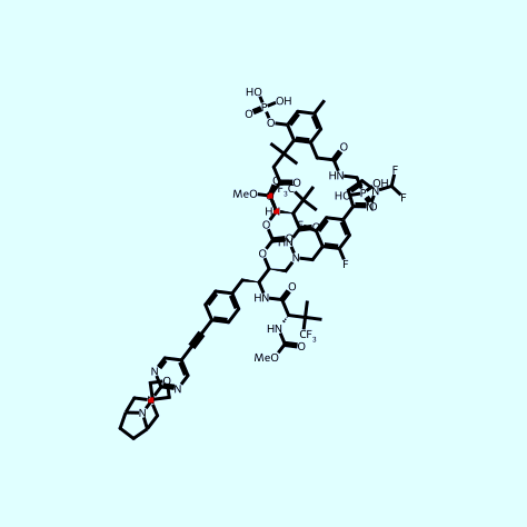 COC(=O)N[C@H](C(=O)N[C@@H](Cc1ccc(C#Cc2cnc(N3CC4CCC(C3)N4C3COC3)nc2)cc1)[C@H](CN(Cc1c(F)cc(-c2ccn(C(F)F)n2)cc1F)NC(=O)[C@@H](NC(=O)OC)C(C)(C)C(F)(F)F)OC(=O)OCOC(=O)CC(C)(C)c1c(CC(=O)NCP(=O)(O)O)cc(C)cc1OP(=O)(O)O)C(C)(C)C(F)(F)F